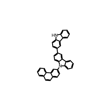 c1ccc2c(c1)ccc1ccc(-n3c4ccccc4c4cc(-c5ccc6[nH]c7ccccc7c6c5)ccc43)cc12